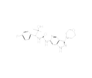 CC(C)(O)[C@@H](NC(=O)Nc1cc2[nH]nc(N3CCOCC3)c2cn1)c1ccc(F)cc1